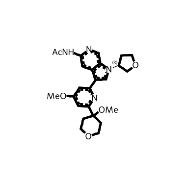 COc1cc(-c2cn([C@@H]3CCOC3)c3cnc(NC(C)=O)cc23)nc(C2(OC)CCOCC2)c1